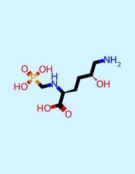 NC[C@H](O)CC[C@H](NCP(=O)(O)O)C(=O)O